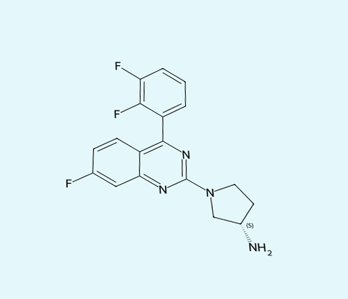 N[C@H]1CCN(c2nc(-c3cccc(F)c3F)c3ccc(F)cc3n2)C1